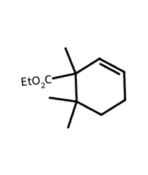 CCOC(=O)C1(C)C=CCCC1(C)C